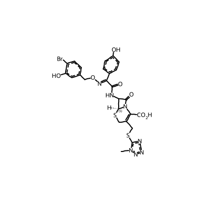 Cn1nnnc1SCC1=C(C(=O)O)N2C(=O)C(NC(=O)C(=NOCc3ccc(Br)c(O)c3)c3ccc(O)cc3)[C@@H]2SC1